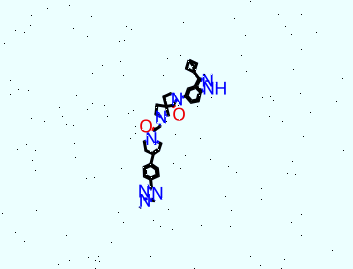 Cn1cnc(-c2ccc(C3=CCN(C(=O)CN4CCC5(CCN(c6ccc7[nH]nc(C89CC(C8)C9)c7c6)C5=O)C4)CC3)cc2)n1